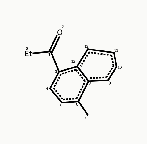 CCC(=O)c1ccc(C)c2ccccc12